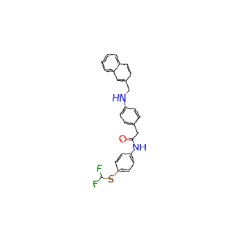 O=C(Cc1ccc(NCc2ccc3ccccc3c2)cc1)Nc1ccc(SC(F)F)cc1